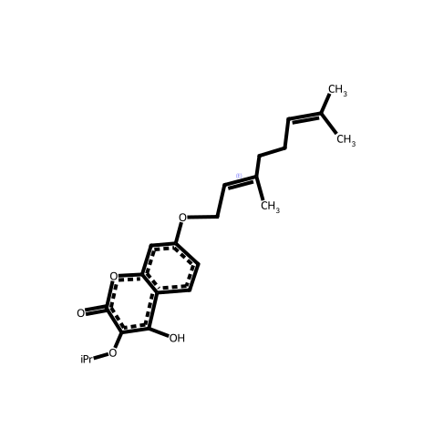 CC(C)=CCC/C(C)=C/COc1ccc2c(O)c(OC(C)C)c(=O)oc2c1